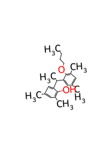 CCCCOc1c(C)cc(C)cc1C(C)c1cc(C)cc(C)c1O